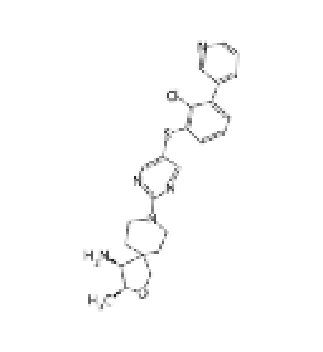 C[C@@H]1OCC2(CCN(c3ncc(Sc4cccc(-c5cccnc5)c4Cl)cn3)CC2)[C@@H]1N